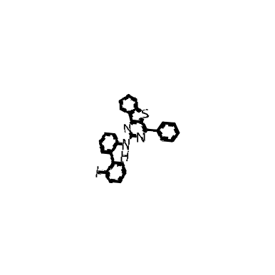 Ic1ccccc1-c1ccccc1Nc1nc(-c2ccccc2)c2sc3ccccc3c2n1